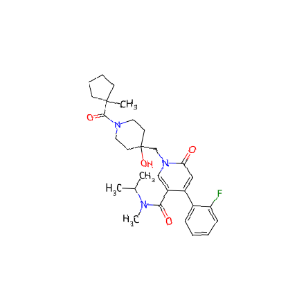 CC(C)N(C)C(=O)c1cn(CC2(O)CCN(C(=O)C3(C)CCCC3)CC2)c(=O)cc1-c1ccccc1F